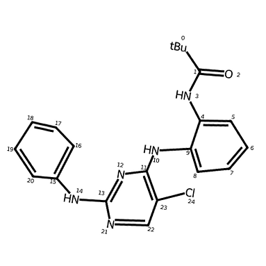 CC(C)(C)C(=O)Nc1ccccc1Nc1nc(Nc2ccccc2)ncc1Cl